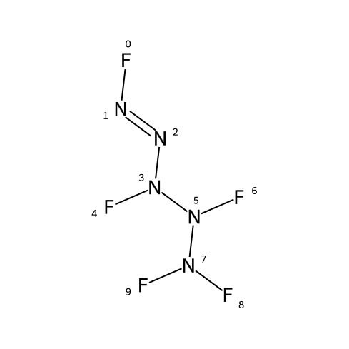 FN=NN(F)N(F)N(F)F